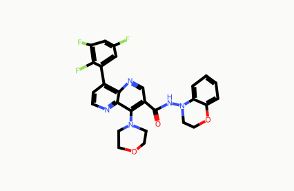 O=C(NN1CCOc2ccccc21)c1cnc2c(-c3cc(F)cc(F)c3F)ccnc2c1N1CCOCC1